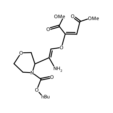 CCCCOC(=O)N1CCOCC1/C(N)=C/O/C(=C/C(=O)OC)C(=O)OC